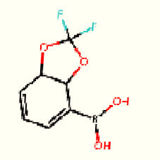 OB(O)C1=CC=CC2OC(F)(F)OC12